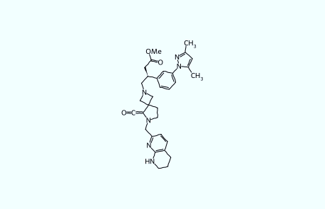 COC(=O)C[C@H](CN1CC2(CCN(Cc3ccc4c(n3)NCCC4)C2=C=O)C1)c1cccc(-n2nc(C)cc2C)c1